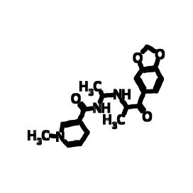 CC(NC(=O)C1=CN(C)C=CC1)NC(C)C(=O)c1ccc2c(c1)OCO2